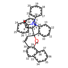 C1=CC(c2ccccc2)(c2ccccc2N(c2ccccc2)c2ccccc2)Oc2c1ccc1ccccc21